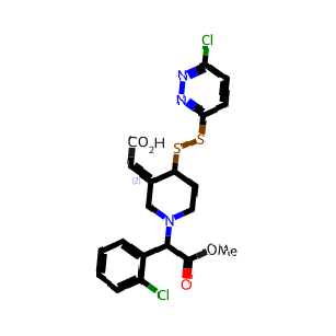 COC(=O)C(c1ccccc1Cl)N1CCC(SSc2ccc(Cl)nn2)/C(=C\C(=O)O)C1